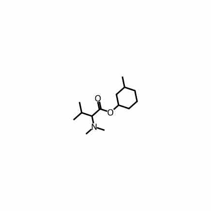 CC1CCCC(OC(=O)C(C(C)C)N(C)C)C1